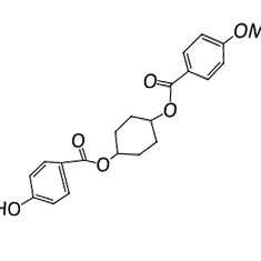 COc1ccc(C(=O)OC2CCC(OC(=O)c3ccc(O)cc3)CC2)cc1